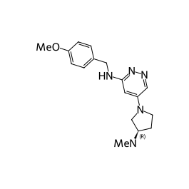 CN[C@@H]1CCN(c2cnnc(NCc3ccc(OC)cc3)c2)C1